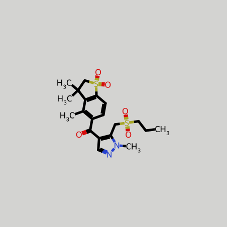 CCCS(=O)(=O)Cc1c(C(=O)c2ccc3c(c2C)C(C)(C)CS3(=O)=O)cnn1C